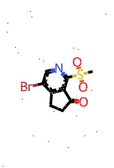 CS(=O)(=O)c1ncc(Br)c2c1C(=O)CC2